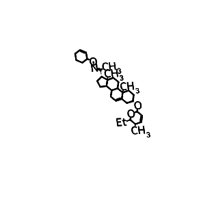 CC[C@H]1OC(O[C@H]2CC[C@@]3(C)C(=CCC4C3CC[C@@]3(C)C4CC[C@@H]3/C(C)=N/OC3C=CCCC3)C2)C=C[C@@H]1C